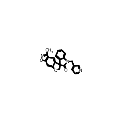 Cc1noc2cc3c(cc12)C1(CO3)C(=O)N(Cc2cccnc2)c2ccccc21